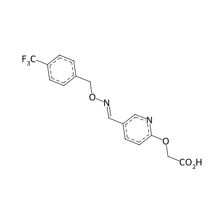 O=C(O)COc1ccc(C=NOCc2ccc(C(F)(F)F)cc2)cn1